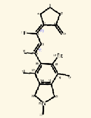 C=C1CCC/C1=C(F)/C=C(\C)c1c(C)c2c(c(C)c1CC)CN(C)C2